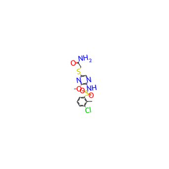 COc1nc(SCC(N)=O)cnc1NS(=O)(=O)c1cccc(Cl)c1C